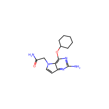 NC(=O)Cn1ccc2nc(N)nc(OC3CCCCC3)c21